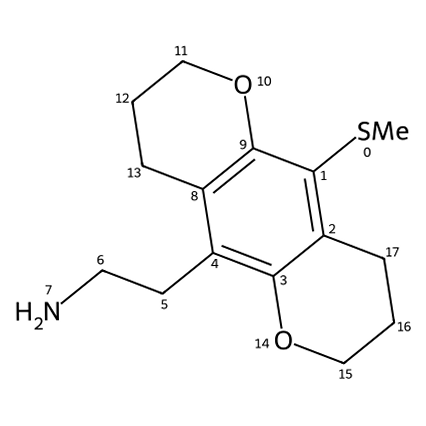 CSc1c2c(c(CCN)c3c1OCCC3)OCCC2